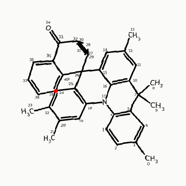 Cc1ccc2c(c1)C(C)(C)c1cc(C)cc3c1N2c1cc(C)c(C)cc1C31c2ccccc2C(=O)c2ccccc21